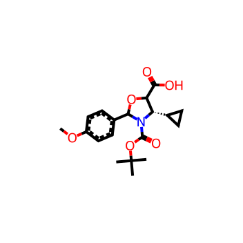 COc1ccc(C2OC(C(=O)O)[C@H](C3CC3)N2C(=O)OC(C)(C)C)cc1